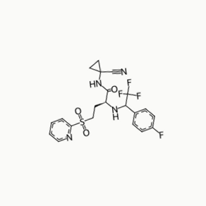 N#CC1(NC(=O)[C@H](CCS(=O)(=O)c2ccccn2)NC(c2ccc(F)cc2)C(F)(F)F)CC1